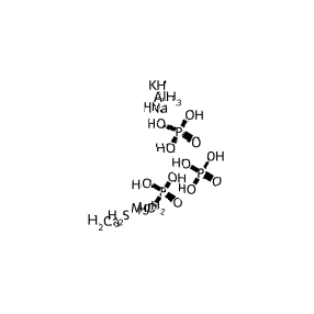 O=P(O)(O)O.O=P(O)(O)O.O=P(O)(O)O.S.[AlH3].[CaH2].[KH].[MgH2].[NaH]